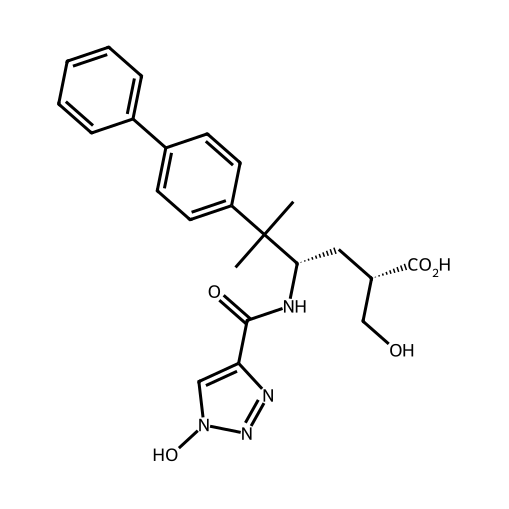 CC(C)(c1ccc(-c2ccccc2)cc1)[C@H](C[C@@H](CO)C(=O)O)NC(=O)c1cn(O)nn1